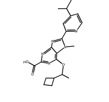 CC(C)c1ccnc(-c2nc3nc(C(=O)O)nc(OC(C)C4CCC4)c3n2C)c1